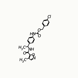 Cc1cnoc1C(=O)NC(C)c1ccc(NC(=O)OCc2ccc(Cl)cc2)cc1